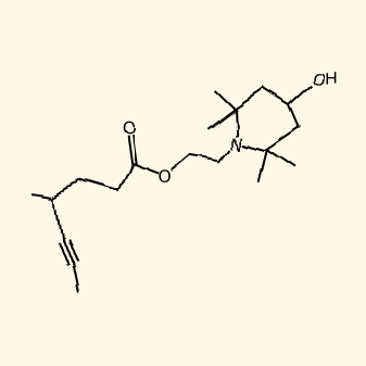 CC#CC(C)CCC(=O)OCCN1C(C)(C)CC(O)CC1(C)C